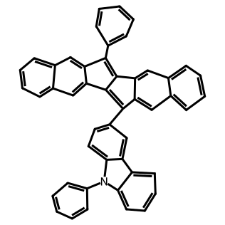 c1ccc(C2=C3C(=C(c4ccc5c(c4)c4ccccc4n5-c4ccccc4)c4cc5ccccc5cc43)c3cc4ccccc4cc32)cc1